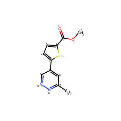 COC(=O)c1ccc(-c2cnnc(C)c2)s1